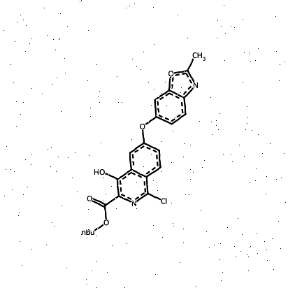 CCCCOC(=O)c1nc(Cl)c2ccc(Oc3ccc4nc(C)oc4c3)cc2c1O